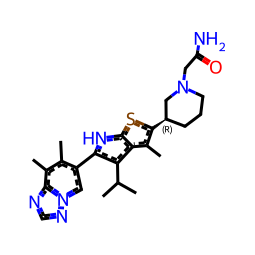 Cc1c(-c2[nH]c3sc([C@@H]4CCCN(CC(N)=O)C4)c(C)c3c2C(C)C)cn2ncnc2c1C